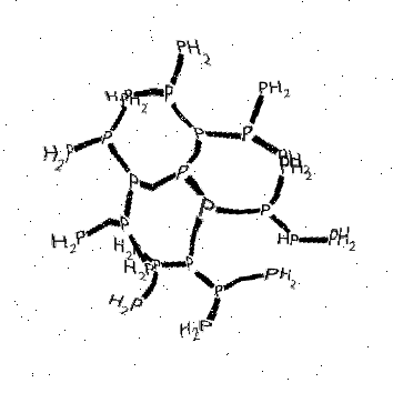 PPP(P)P(P(P(P)P)P(P)P)P(P(P(P)P)P(P)P)P(P(P)P)P(P)P